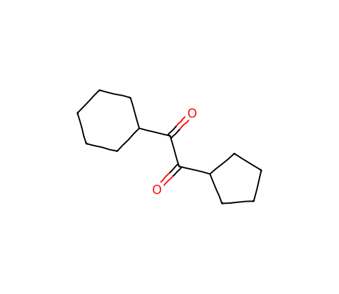 O=C(C(=O)C1CCCC1)C1CCCCC1